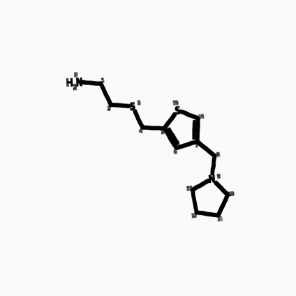 NCCSCc1cc(CN2CCCC2)cs1